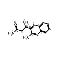 Cc1nc2ccccc2nc1C(C)CC(N)=O